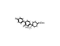 CCCCCCCCCCC1CCC(C(=O)O)(c2ccc(-c3ccc(F)cc3)c(F)c2)CC1